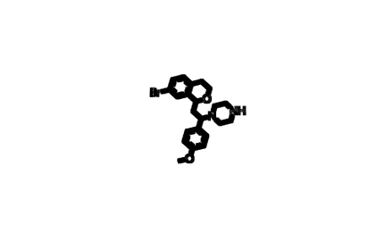 COc1ccc(C(CC2OCCc3ccc(Br)cc32)N2CCNCC2)cc1